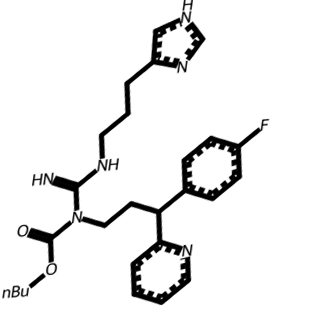 CCCCOC(=O)N(CCC(c1ccc(F)cc1)c1ccccn1)C(=N)NCCCc1c[nH]cn1